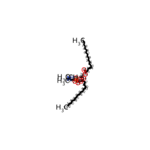 CCCCCCCCCCCCC/C=C\CCC(=O)OC[C@H](COP(=O)([O-])OCC[N+](C)(C)C)OC(=O)CC/C=C\CCCCCCCCCCCCC